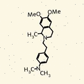 COc1cc2c(cc1OC)C(C)N(CCc1ccc(N(C)C)cc1)CC2